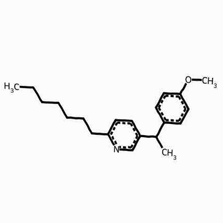 CCCCCCCc1ccc(C(C)c2ccc(OC)cc2)cn1